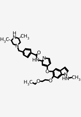 CCOCCOc1cc2c(ccn2NC)cc1Oc1ccnc(NC(=O)c2ccc(CN3C[C@@H](C)N[C@@H](C)C3)cc2)c1